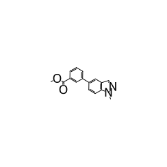 COC(=O)c1cccc(-c2ccc3c(cnn3C)c2)c1